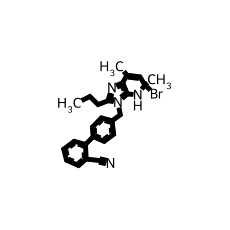 CCCc1nc2c(n1Cc1ccc(-c3ccccc3C#N)cc1)NC(C)(Br)C=C2C